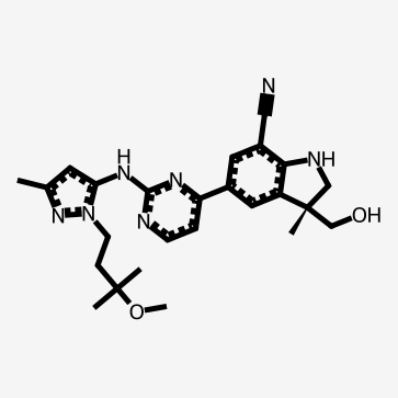 COC(C)(C)CCn1nc(C)cc1Nc1nccc(-c2cc(C#N)c3c(c2)[C@@](C)(CO)CN3)n1